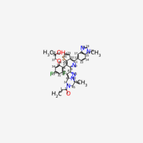 C=CC(=O)N1Cc2cc(-c3nc(-c4ccc5c(c4)ncn5C)c4ccsc4c3-c3c(F)cc(F)cc3OCC(C)O)nn2C(C)C1